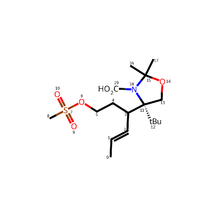 CC=CC(CCOS(C)(=O)=O)[C@]1(C(C)(C)C)COC(C)(C)N1C(=O)O